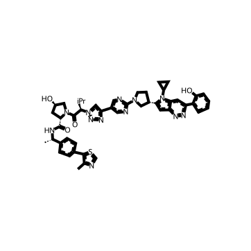 Cc1ncsc1-c1ccc([C@H](C)NC(=O)[C@@H]2C[C@@H](O)CN2C(=O)[C@@H](C(C)C)n2cc(-c3cnc(N4CC[C@H](c5cc6nnc(-c7ccccc7O)cc6n5C5CC5)C4)nc3)nn2)cc1